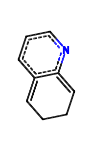 C1=c2cccnc2=CCC1